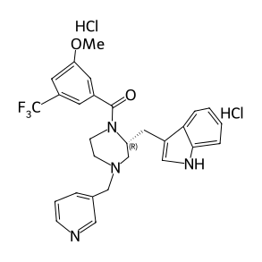 COc1cc(C(=O)N2CCN(Cc3cccnc3)C[C@H]2Cc2c[nH]c3ccccc23)cc(C(F)(F)F)c1.Cl.Cl